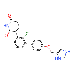 O=C1CCC(c2cccc(-c3ccc(OCC4=CNCN4)cc3)c2Cl)C(=O)N1